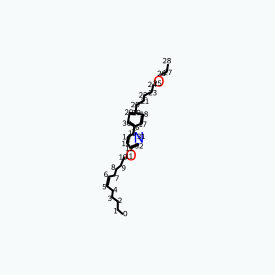 CCCCC/C=C\CCCCOc1ccc(-c2ccc(CCCCCOCCC)cc2)nc1